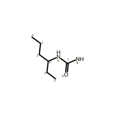 CCCC(CC)NC([NH])=O